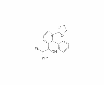 CCCC(CC)C(O)c1cccc(C2OCCO2)c1-c1ccccc1